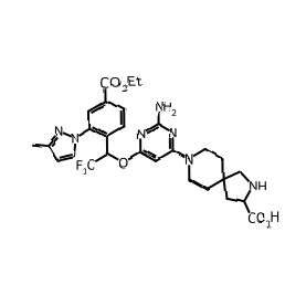 CCOC(=O)c1ccc(C(Oc2cc(N3CCC4(CC3)CNC(C(=O)O)C4)nc(N)n2)C(F)(F)F)c(-n2ccc(C)n2)c1